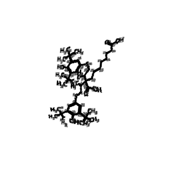 CC(CSc1cc(C(C)(C)C)c(O)c(C(C)(C)C)c1)C(CCCCCCCC(=O)O)(C(=O)O)C(C)CSc1cc(C(C)(C)C)c(O)c(C(C)(C)C)c1